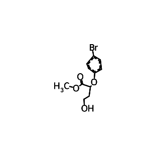 COC(=O)C(CCO)Oc1ccc(Br)cc1